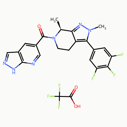 C[C@H]1c2nn(C)c(-c3cc(F)c(F)c(F)c3)c2CCN1C(=O)c1cnc2[nH]ncc2c1.O=C(O)C(F)(F)F